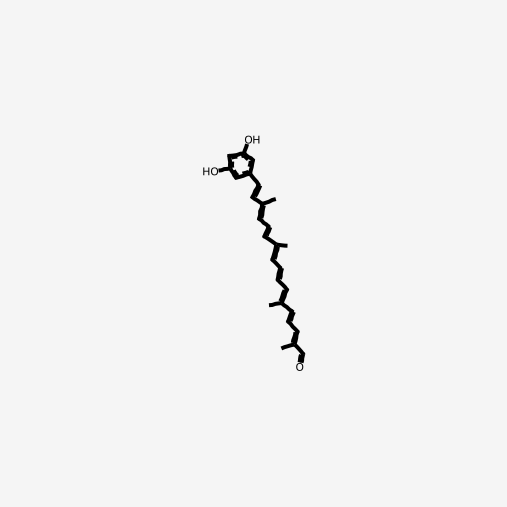 C\C(C=O)=C/C=C/C(C)=C/C=C/C=C(C)/C=C/C=C(C)/C=C/c1cc(O)cc(O)c1